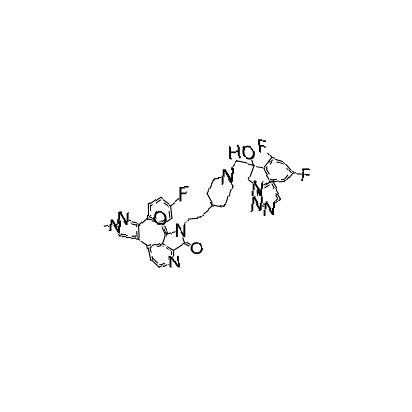 Cn1cc(-c2ccnc3c2C(=O)N(CCC2CCN(CC(O)(Cn4ccnn4)c4ccc(F)cc4F)CC2)C3=O)c(-c2ccc(F)cc2)n1